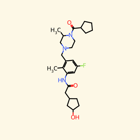 Cc1c(CN2CCN(C(=O)C3CCCC3)C(C)C2)cc(F)cc1NC(=O)CC1CCC(O)C1